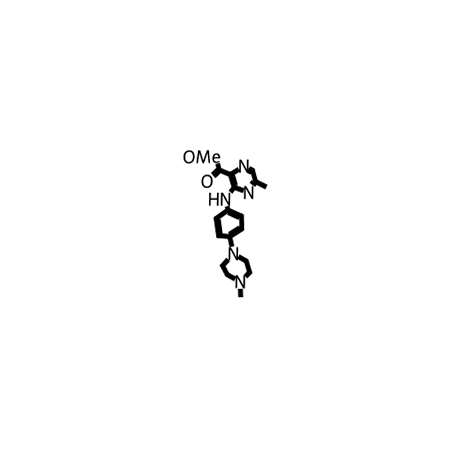 COC(=O)c1ncc(C)nc1Nc1ccc(N2CCN(C)CC2)cc1